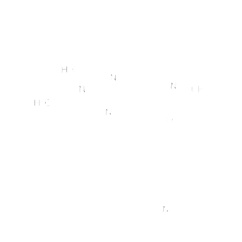 CCN(C)c1ncc(C(=O)N(C)C2CCCCC2)c(-c2ccc(C#N)cc2)n1